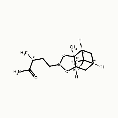 C[C@H](C[CH]B1O[C@@H]2C[C@@H]3C[C@@H](C3(C)C)[C@]2(C)O1)C(N)=O